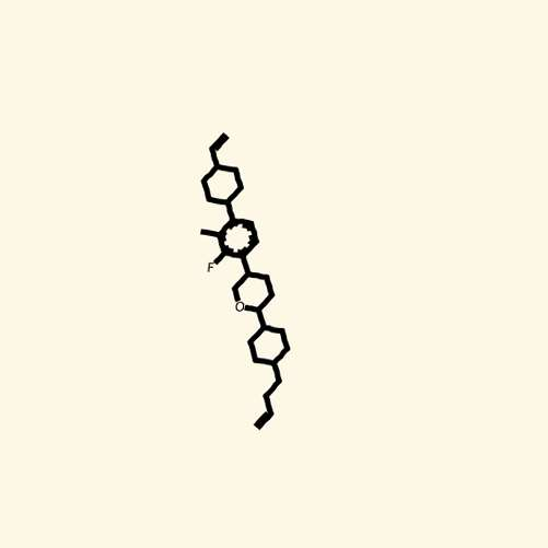 C=CCCC1CCC(C2CCC(c3ccc(C4CCC(C=C)CC4)c(C)c3F)CO2)CC1